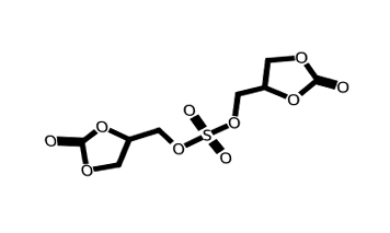 O=C1OCC(COS(=O)(=O)OCC2COC(=O)O2)O1